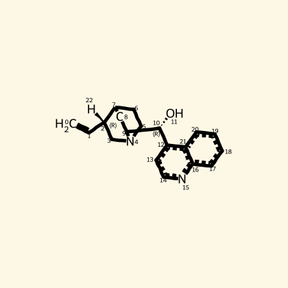 C=C[C@H]1CN2CCC1CC2[C@H](O)c1ccnc2ccccc12